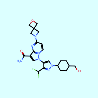 NC(=O)c1cn(-c2cn(C3CCC(CO)CC3)nc2C(F)F)[n+]2ccc(N3CC4(COC4)C3)nc12